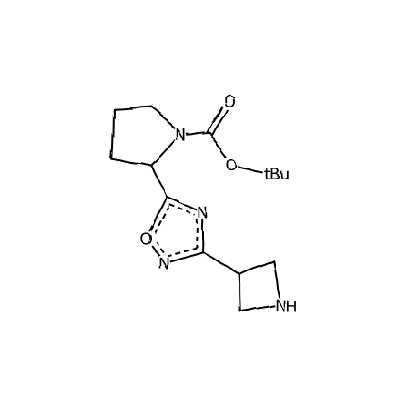 CC(C)(C)OC(=O)N1CCCC1c1nc(C2CNC2)no1